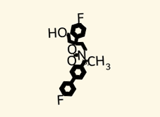 C[C@@H](c1ccc(-c2ccc(F)cc2)cc1)N1CCC(CCO)(c2ccc(F)cc2)OC1=O